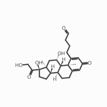 C[C@]12C(CCCC=O)=CC(=O)C=C1CC[C@@H]1[C@@H]2[C@@H](O)C[C@@]2(C)[C@H]1CC[C@]2(O)C(=O)CO